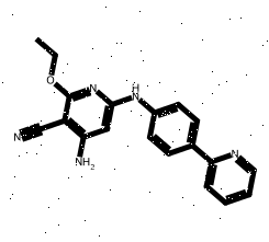 CCOc1nc(Nc2ccc(-c3ccccn3)cc2)cc(N)c1C#N